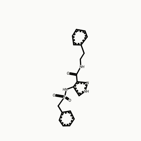 O=C(NCCc1ccccc1)c1n[nH]cc1NS(=O)(=O)Cc1ccccc1